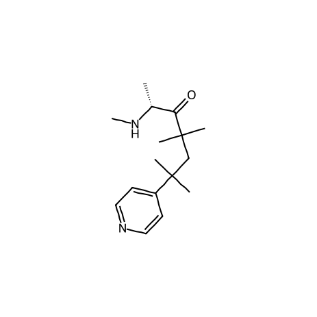 CN[C@H](C)C(=O)C(C)(C)CC(C)(C)c1ccncc1